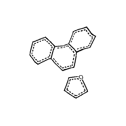 c1ccc2c(c1)ccc1ccccc12.c1ccoc1